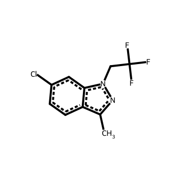 Cc1nn(CC(F)(F)F)c2cc(Cl)ccc12